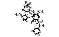 Cc1cc(S(=O)(=O)Nc2ccncn2)c(F)cc1O[C@]1(C)CC(F)(F)CC[C@@H]1c1ccnn1C